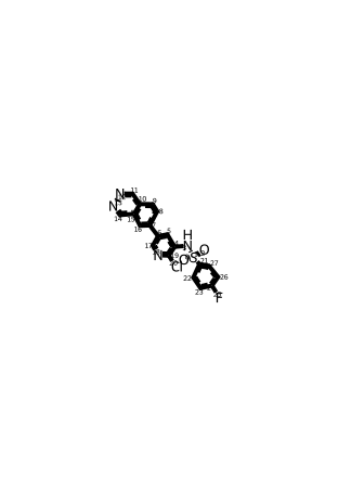 O=S(=O)(Nc1cc(-c2ccc3cnncc3c2)cnc1Cl)c1ccc(F)cc1